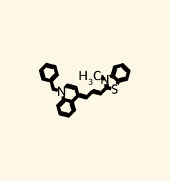 C[n+]1c(/C=C/C=C2\C=CN(Cc3ccccc3)c3ccccc32)sc2ccccc21